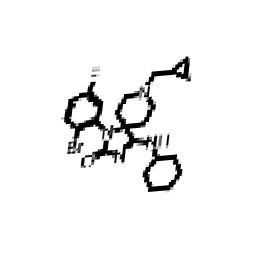 O=C1N=C(NC2CCCCC2)C2(CCN(CC3CC3)CC2)N1c1cc(F)ccc1Br